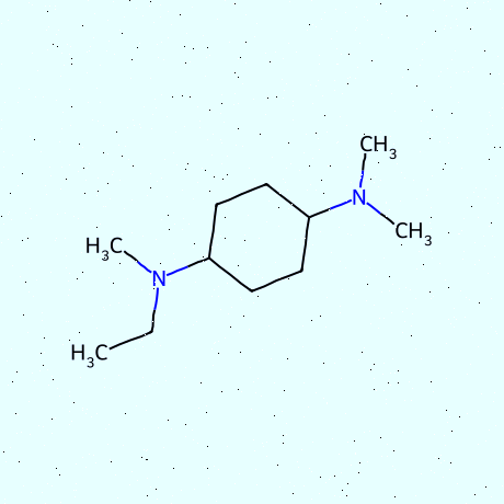 CCN(C)C1CCC(N(C)C)CC1